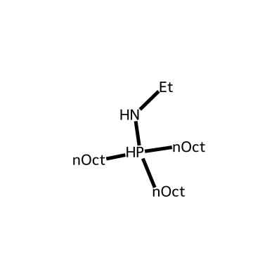 CCCCCCCC[PH](CCCCCCCC)(CCCCCCCC)NCC